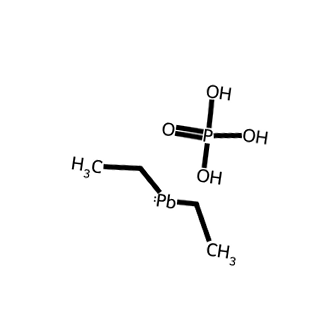 C[CH2][Pb][CH2]C.O=P(O)(O)O